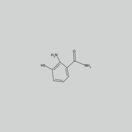 NC(=O)c1cccc(S)c1N